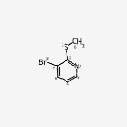 CSc1ncccc1Br